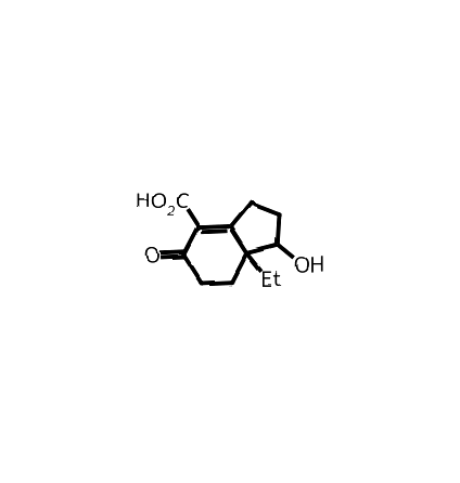 CCC12CCC(=O)C(C(=O)O)=C1CCC2O